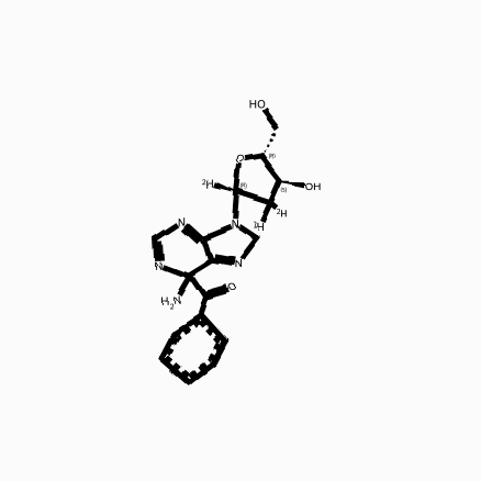 [2H]C1([2H])[C@H](O)[C@@H](CO)O[C@@]1([2H])N1CN=C2C1=NC=NC2(N)C(=O)c1ccccc1